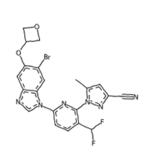 Cc1cc(C#N)nn1-c1nc(-n2cnc3cc(OC4COC4)c(Br)cc32)ccc1C(F)F